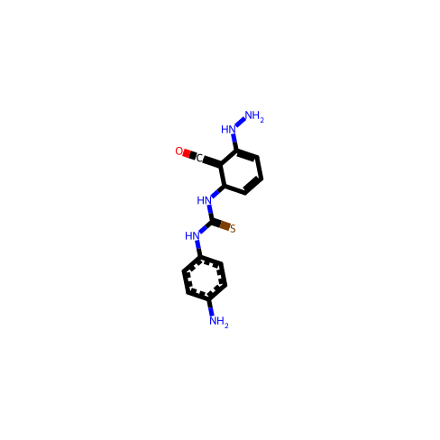 NNC1=CC=CC(NC(=S)Nc2ccc(N)cc2)C1=C=O